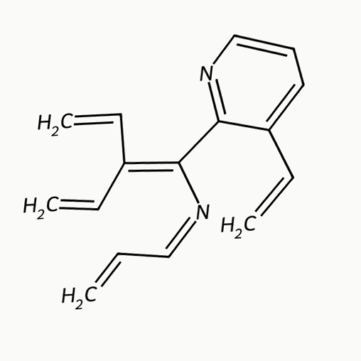 C=C/C=N\C(=C(C=C)C=C)c1ncccc1C=C